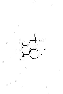 O=c1[nH]c(=O)n(CC(F)(F)C(F)(F)F)c2c1CCCC2